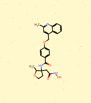 Cc1cc(COc2ccc(C(=O)NC3(CC(=O)NO)CCOC3C)cc2)c2ccccc2n1